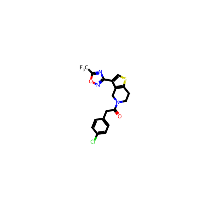 O=C(Cc1ccc(Cl)cc1)N1CCc2scc(-c3noc(C(F)(F)F)n3)c2C1